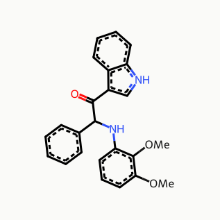 COc1cccc(NC(C(=O)c2c[nH]c3ccccc23)c2ccccc2)c1OC